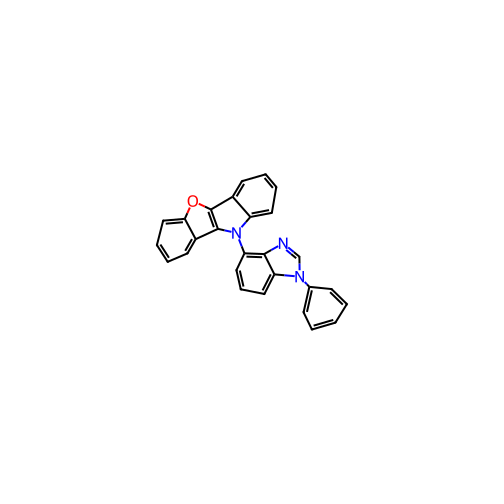 c1ccc(-n2cnc3c(-n4c5ccccc5c5oc6ccccc6c54)cccc32)cc1